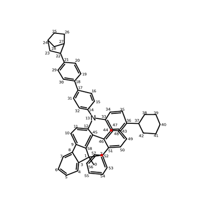 CC1(C)c2ccccc2-c2ccc(N(c3ccc(-c4ccc(C5CC6CCC5C6)cc4)cc3)c3ccc(C4CCCCC4)cc3)c(-c3ccccc3-c3ccccc3)c21